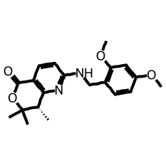 COc1ccc(CNc2ccc3c(n2)[C@H](C)C(C)(C)OC3=O)c(OC)c1